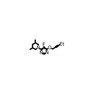 CCC#CCOc1ncnc(N2CC(C)CC(C)C2)c1F